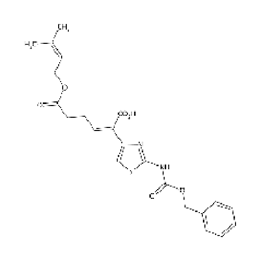 CC(C)=CCOC(=O)CCC=C(C(=O)O)c1csc(NC(=O)OCc2ccccc2)n1